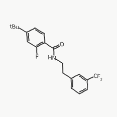 CC(C)(C)c1ccc(C(=O)NCCc2cccc(C(F)(F)F)c2)c(F)c1